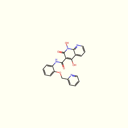 O=C(Nc1ccccc1OCc1ccccn1)c1c(O)c2cccnc2n(O)c1=O